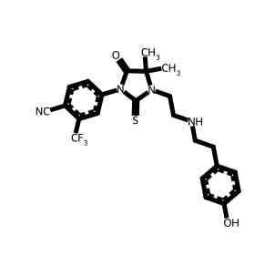 CC1(C)C(=O)N(c2ccc(C#N)c(C(F)(F)F)c2)C(=S)N1CCNCCc1ccc(O)cc1